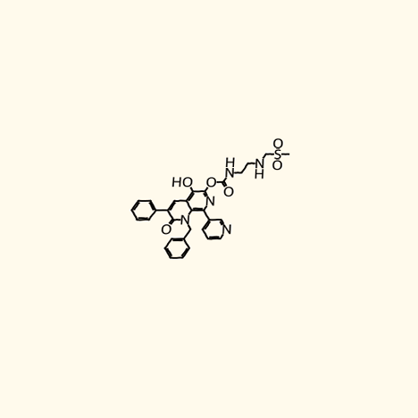 CS(=O)(=O)CNCCNC(=O)Oc1nc(-c2cccnc2)c2c(cc(-c3ccccc3)c(=O)n2Cc2ccccc2)c1O